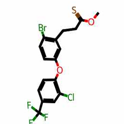 COC(=S)CCc1cc(Oc2ccc(C(F)(F)F)cc2Cl)ccc1Br